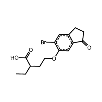 CCC(CCOc1cc2c(cc1Br)CCC2=O)C(=O)O